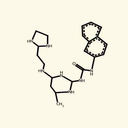 CC1CC(NCCC2NCCN2)NC(NC(=O)Nc2ccc3ccccc3c2)N1